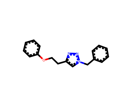 c1ccc(Cn2cc(CCOc3ccccc3)nn2)cc1